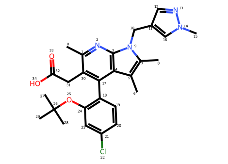 Cc1nc2c(c(C)c(C)n2Cc2cnn(C)c2)c(-c2ccc(Cl)cc2OC(C)(C)C)c1CC(=O)O